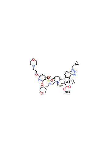 Cc1ccc(C(c2ccc3c(nnn3CC3CC3)c2C)C(C)(C)C(=O)OC(C)(C)C)nc1CN1CC2(CCOCC2)Oc2nc(OCCN3CCOCC3)ccc2S1(=O)=O